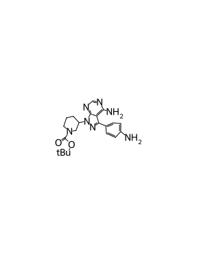 CC(C)(C)OC(=O)N1CCCC(n2nc(-c3ccc(N)cc3)c3c(N)ncnc32)C1